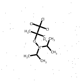 CC(C)[N+](OC(C)(C)C(Cl)(Cl)Cl)C(C)C